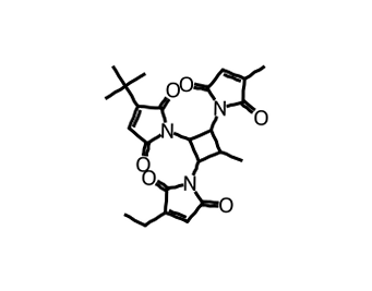 CCC1=CC(=O)N(C2C(C)C(N3C(=O)C=C(C)C3=O)C2N2C(=O)C=C(C(C)(C)C)C2=O)C1=O